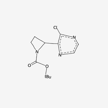 CC(C)(C)OC(=O)N1CCC1c1nccnc1Cl